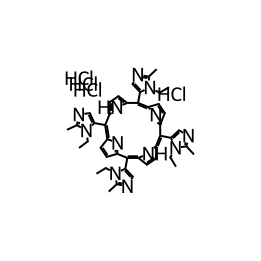 CCn1c(-c2c3nc(c(-c4cnc(C)n4CC)c4ccc([nH]4)c(-c4cnc(C)n4CC)c4nc(c(-c5cnc(C)n5CC)c5ccc2[nH]5)C=C4)C=C3)cnc1C.Cl.Cl.Cl.Cl